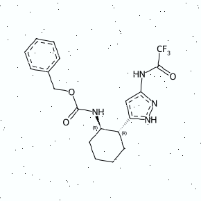 O=C(N[C@@H]1CCCC[C@H]1c1cc(NC(=O)C(F)(F)F)n[nH]1)OCc1ccccc1